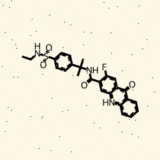 CCNS(=O)(=O)c1ccc(C(C)(C)NC(=O)c2cc3[nH]c4ccccc4c(=O)c3cc2F)cc1